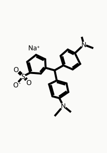 CN(C)c1ccc(C(c2ccc(N(C)C)cc2)c2cccc(S(=O)(=O)[O-])c2)cc1.[Na+]